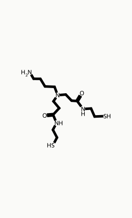 NCCCCN(CCC(=O)NCCS)CCC(=O)NCCS